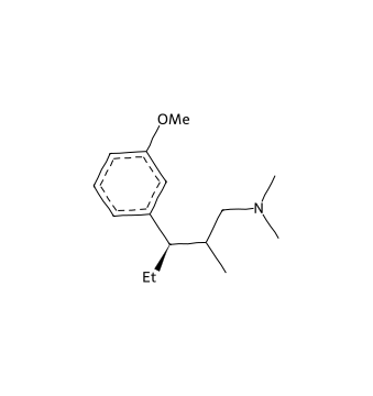 CC[C@@H](c1cccc(OC)c1)C(C)CN(C)C